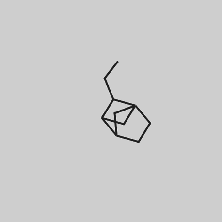 CCC1C2CC13CCC2C3